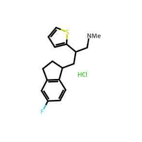 CNCC(CC1CCc2cc(F)ccc21)c1cccs1.Cl